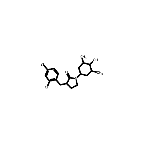 CC1CC(N2CCC(Cc3ccc(Cl)cc3Cl)C2=O)CC(C)C1O